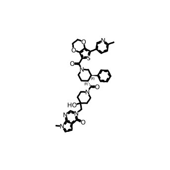 Cc1ccc(-c2sc(C(=O)N3CC[C@@H](C(=O)N4CCC(O)(Cn5cnc6c(ccn6C)c5=O)CC4)[C@H](c4ccccc4)C3)c3c2OCCO3)cn1